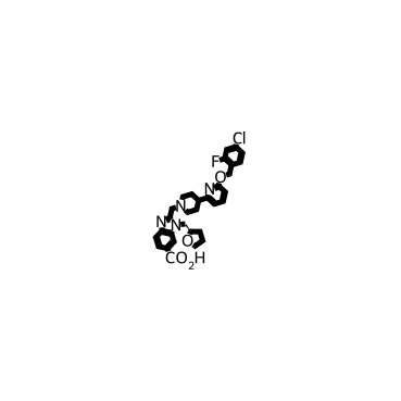 O=C(O)c1ccc2nc(CN3CCC(c4cccc(OCc5ccc(Cl)cc5F)n4)CC3)n(C[C@@H]3CCCO3)c2c1